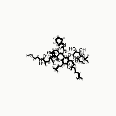 CC(C)=CCCC1(C)C=Cc2c(c(CC=C(C)C)c3c(c2O[C@H]2O[C@H]4COC(C)(C)O[C@@H]4[C@@H](O)[C@@H]2O)C2=C4C(C5CC(C(C)C)C4(O3)C(O)(C/C=C(/C)C(=O)NCCO)C5=O)n3c(nc4ccccc43)N2)O1